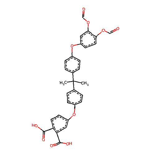 CC(C)(c1ccc(Oc2ccc(OC=O)c(OC=O)c2)cc1)c1ccc(Oc2ccc(C(=O)O)c(C(=O)O)c2)cc1